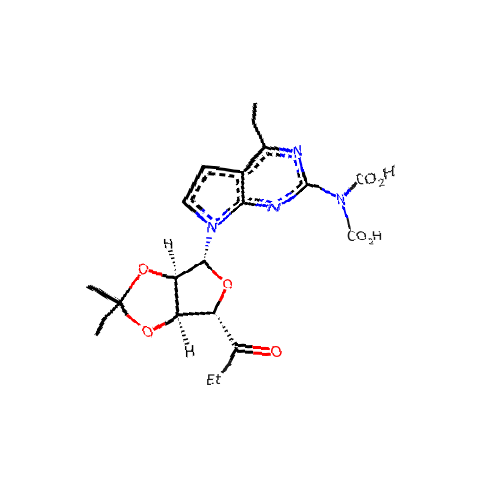 CCC(=O)[C@H]1O[C@@H](n2ccc3c(C)nc(N(C(=O)O)C(=O)O)nc32)[C@@H]2OC(C)(C)O[C@@H]21